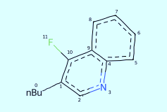 CCCCc1[c]nc2ccccc2c1F